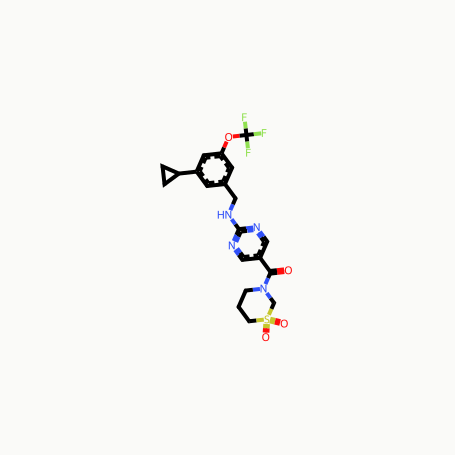 O=C(c1cnc(NCc2cc(OC(F)(F)F)cc(C3CC3)c2)nc1)N1CCCS(=O)(=O)C1